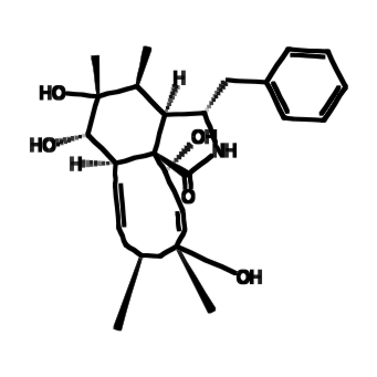 C[C@H]1C/C=C\[C@H]2[C@H](O)[C@](C)(O)[C@@H](C)[C@H]3[C@H](Cc4ccccc4)NC(=O)[C@]32[C@H](O)/C=C\[C@](C)(O)C1